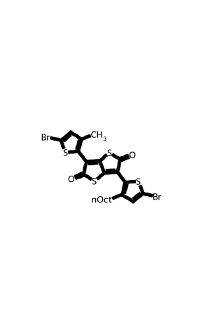 CCCCCCCCc1cc(Br)sc1C1=C2SC(=O)C(c3sc(Br)cc3C)=C2SC1=O